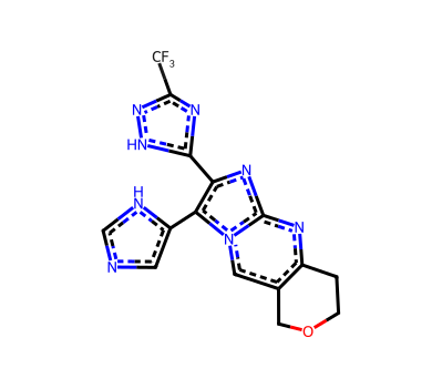 FC(F)(F)c1n[nH]c(-c2nc3nc4c(cn3c2-c2cnc[nH]2)COCC4)n1